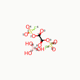 O=C(OS(=O)(=O)F)C(=O)OS(=O)(=O)F.OB(O)O